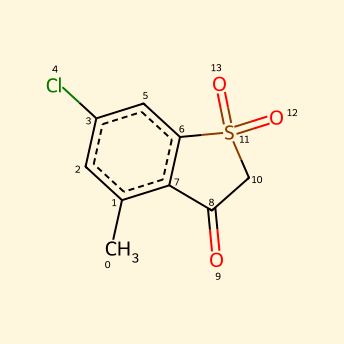 Cc1cc(Cl)cc2c1C(=O)CS2(=O)=O